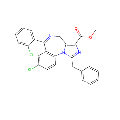 COC(=O)c1nc(Cc2ccccc2)n2c1CN=C(c1ccccc1Cl)c1cc(Cl)ccc1-2